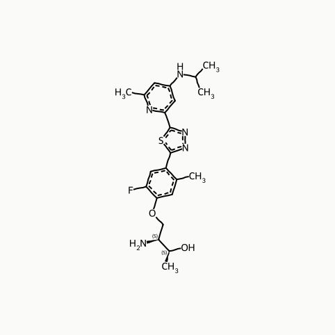 Cc1cc(NC(C)C)cc(-c2nnc(-c3cc(F)c(OC[C@H](N)[C@H](C)O)cc3C)s2)n1